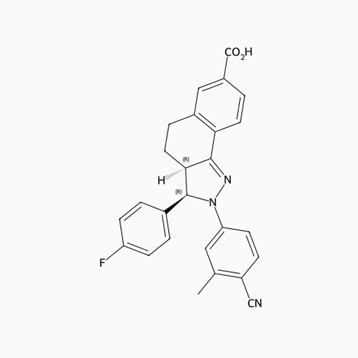 Cc1cc(N2N=C3c4ccc(C(=O)O)cc4CC[C@@H]3[C@@H]2c2ccc(F)cc2)ccc1C#N